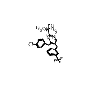 CN(C)c1ncc(Cc2cccc(C(F)(F)F)c2)c(Cc2ccc(Cl)cc2)n1